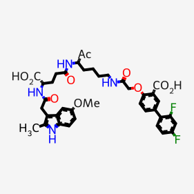 COc1ccc2[nH]c(C)c(CC(=O)NC(CCC(=O)NC(CCCCNC(=O)COc3ccc(-c4ccc(F)cc4F)cc3C(=O)O)C(C)=O)C(=O)O)c2c1